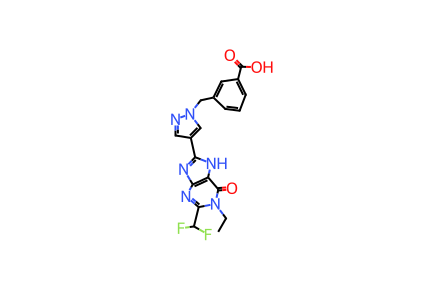 CCn1c(C(F)F)nc2nc(-c3cnn(Cc4cccc(C(=O)O)c4)c3)[nH]c2c1=O